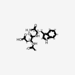 CC(=O)N[C@@H](CC(=O)O)C(=O)N[C@@H](Cc1c[nH]c2ccccc12)C(N)=O